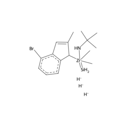 CC1=Cc2c(Br)cccc2[CH]1[Zr]([CH3])([CH3])(=[SiH2])[NH]C(C)(C)C.[H-].[H-].[H-]